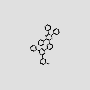 Clc1cccc(-c2cc(-c3cccc(-c4nc(-c5ccccc5)c(-c5ccccc5)nc4-c4ccccc4)c3)nc(-c3ccccc3)n2)c1